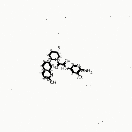 CCc1cc(NC(=O)C(=O)N2C[C@@H](C)CC[C@@H]2c2ccc3ccc(C#N)nc3c2)cnc1N